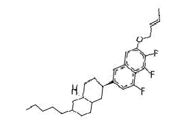 C/C=C/COc1cc2cc([C@@H]3CC[C@@H]4CC(CCCCC)CCC4C3)cc(F)c2c(F)c1F